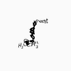 C=C(C)C(=O)OCC(CO)C1CCC(c2ccc3cc(C4CCC(CCCCC)CC4)ccc3c2)CC1